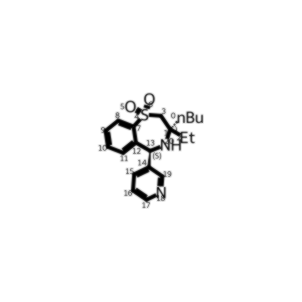 CCCC[C@@]1(CC)CS(=O)(=O)c2ccccc2[C@H](c2cccnc2)N1